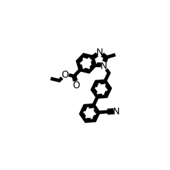 CCOC(=O)c1ccc2nc(C)n(Cc3ccc(-c4ccccc4C#N)cc3)c2c1